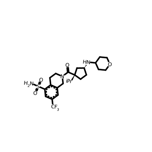 CC(C)[C@]1(C(=O)N2CCc3c(cc(C(F)(F)F)cc3S(N)(=O)=O)C2)CC[C@@H](NC2CCOCC2)C1